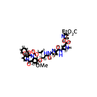 C=CCOC(=O)N1c2cc(OCCCC(=O)Nc3nc(C(=O)Nc4cc(C(=O)Oc5nc(C(=O)OCC)cs5)n(C)c4)cs3)c(OC)cc2C(=O)N2CCC[C@H]2C1OC1CCCCO1